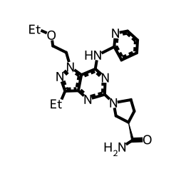 CCOCCn1nc(CC)c2nc(N3CC[C@@H](C(N)=O)C3)nc(Nc3ccccn3)c21